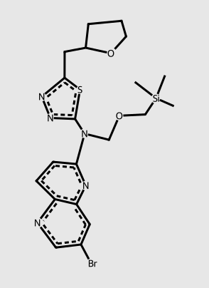 C[Si](C)(C)COCN(c1ccc2ncc(Br)cc2n1)c1nnc(CC2CCCO2)s1